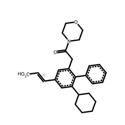 O=C(O)/C=C/c1cc(CC(=O)N2CCOCC2)c(-c2ccccc2)c(C2CCCCC2)c1